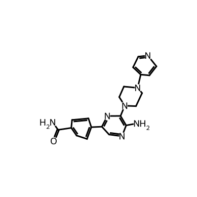 NC(=O)c1ccc(-c2cnc(N)c(N3CCN(c4ccncc4)CC3)n2)cc1